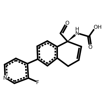 O=C[C@]1(NC(=O)O)C=CCc2cc(-c3ccncc3F)ccc21